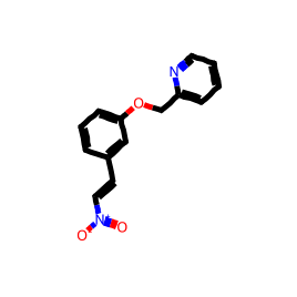 O=[N+]([O-])C=Cc1cccc(OCc2ccccn2)c1